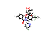 [2H]C([2H])(O)C1(C([2H])([2H])OC2(c3ccc(C(C)(F)F)cc3)c3ccc(C(C)=O)cc3C(=O)N2Cc2ccc(Cl)cn2)CC1